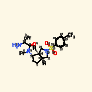 CCC[C@H](N)C(=O)N(C(C)C)[C@H]1CC[C@@H]2CN(S(=O)(=O)c3ccc(C(F)(F)F)cc3)C[C@@H]21